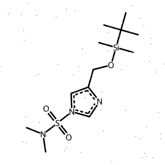 CN(C)S(=O)(=O)n1cnc(CO[Si](C)(C)C(C)(C)C)c1